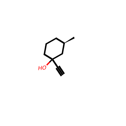 C#CC1(O)CCC[C@@H](C)C1